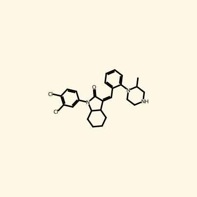 CC1CNCCN1c1ccccc1C=C1C(=O)N(c2ccc(Cl)c(Cl)c2)C2CCCCC12